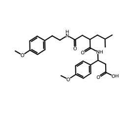 COc1ccc(CCNC(=O)CC(CC(C)C)C(=O)NC(CC(=O)O)c2ccc(OC)cc2)cc1